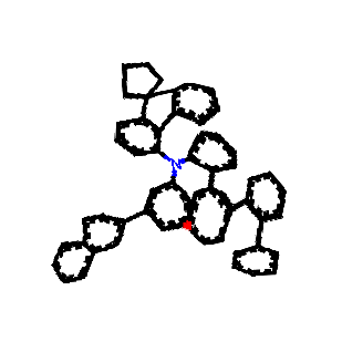 c1ccc(-c2ccccc2-c2ccccc2-c2ccccc2N(c2cccc(-c3ccc4ccccc4c3)c2)c2cccc3c2-c2ccccc2C32CCCC2)cc1